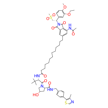 CCOc1cc([C@@H](CS(C)(=O)=O)N2C(=O)c3cc(CCCCCCCCCCCCC(=O)N[C@H](C(=O)N4CC(O)CC4C(=O)NCc4ccc(-c5scnc5C)cc4)C(C)(C)C)cc(NC(C)=O)c3C2=O)ccc1OC